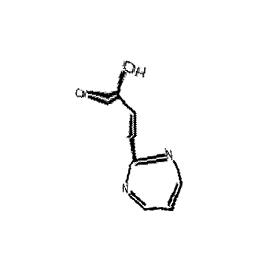 O=C(O)/C=C/c1ncccn1